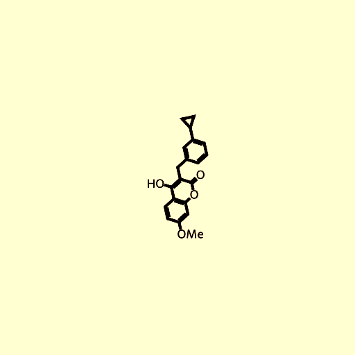 COc1ccc2c(O)c(Cc3cccc(C4CC4)c3)c(=O)oc2c1